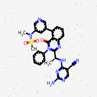 C[C@H](Nc1nc(N)ncc1C#N)c1nc2cccc(-c3cncc(N(C)S(C)(=O)=O)c3)c2c(=O)n1-c1ccccc1